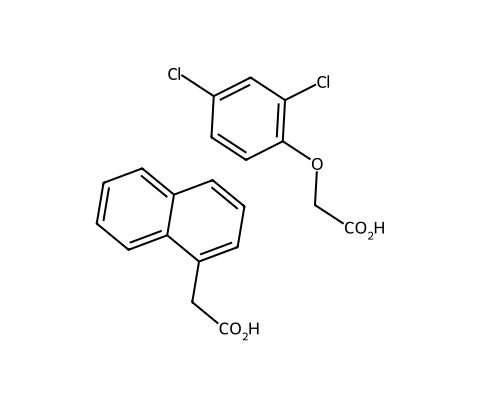 O=C(O)COc1ccc(Cl)cc1Cl.O=C(O)Cc1cccc2ccccc12